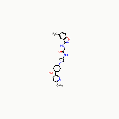 COc1ccc([C@]2(O)CC[C@H](N3CC(NC(=O)CNc4noc5ccc(C(F)(F)F)cc45)C3)CC2)cn1